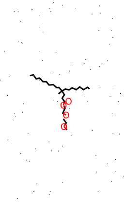 CCCCCCCCCCC(C)(CCCCCCCC)CCC(=O)OCCOCCOC